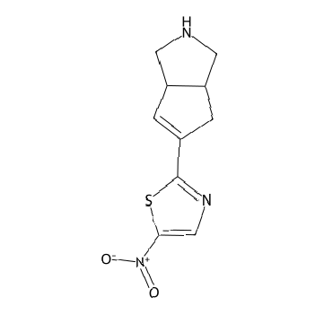 O=[N+]([O-])c1cnc(C2=CC3CNCC3C2)s1